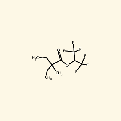 CCC(C)(CC)C(=O)OC(C(F)(F)F)C(F)(F)F